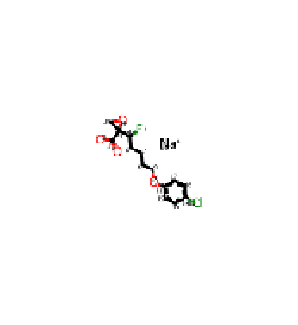 O=C([O-])C1(C(F)CCCCOc2ccc(Cl)cc2)CO1.[Na+]